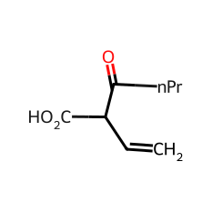 C=CC(C(=O)O)C(=O)CCC